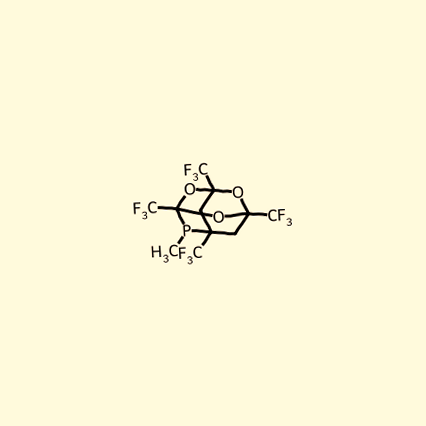 CP1C2(C(F)(F)F)CC3(C(F)(F)F)OC(C(F)(F)F)(C2)OC1(C(F)(F)F)O3